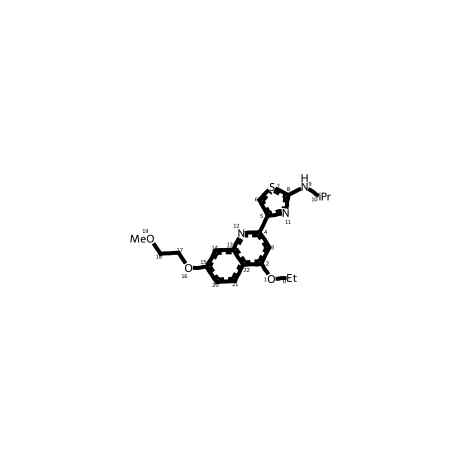 CCOc1cc(-c2csc(NC(C)C)n2)nc2cc(OCCOC)ccc12